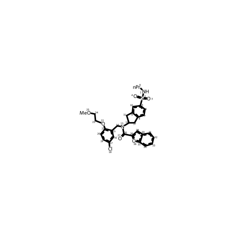 CCCNS(=O)(=O)c1ccc2c(c1)CC(N(Cc1cc(Cl)ccc1OCCOC)C(=O)c1cc3c[c]ccc3o1)C2